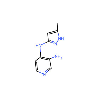 Cc1cc(Nc2ccncc2N)n[nH]1